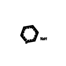 [NaH].b1ccccc1